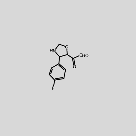 O=CC(=O)C1OCNC1c1ccc(F)cc1